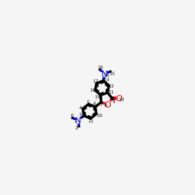 CN(C)c1ccc(C2OC(=O)c3cc(N(C)C)ccc32)cc1